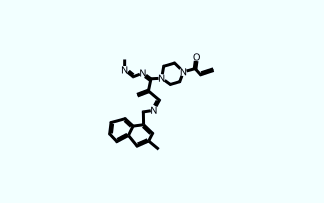 C=CC(=O)N1CCN(/C(=N/C=N\C)C(=C)/C=N\Cc2cc(C)cc3ccccc23)CC1